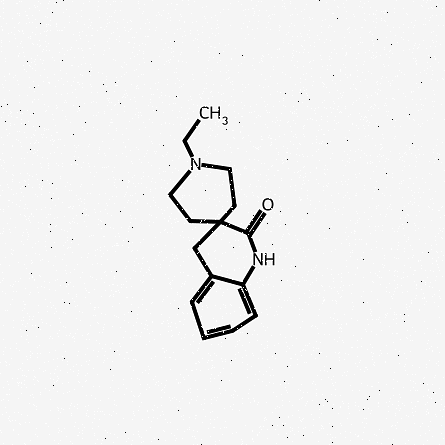 CCN1CCC2(CC1)Cc1ccccc1NC2=O